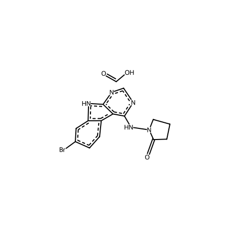 O=C1CCCN1Nc1ncnc2[nH]c3cc(Br)ccc3c12.O=CO